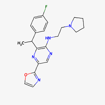 CC(c1ccc(F)cc1)c1nc(-c2ncco2)cnc1NCCN1CCCC1